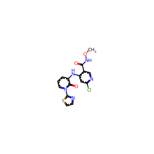 CONC(=O)c1cnc(Cl)cc1Nc1cccn(-c2nccs2)c1=O